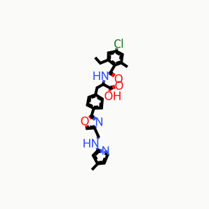 CCc1cc(Cl)cc(C)c1C(=O)NC(Cc1ccc(-c2nc(CNc3cc(C)ccn3)co2)cc1)C(=O)O